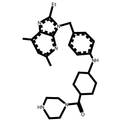 CCc1nc2c(C)cc(C)nc2n1Cc1ccc(NC2CCC(C(=O)N3CCNCC3)CC2)cc1